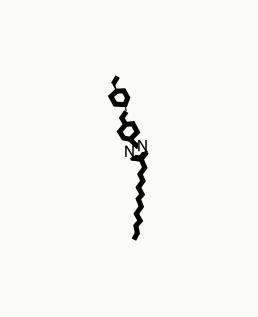 CCCCCCCCCCCCc1cnc(C2CCC(CC[C@H]3CC[C@H](CC)CC3)CC2)nc1